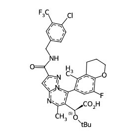 Cc1nc2cc(C(=O)NCc3ccc(Cl)c(C(F)(F)F)c3)nn2c(-c2cc(F)c3c(c2C)CCCO3)c1[C@H](OC(C)(C)C)C(=O)O